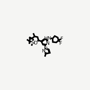 C=CC(C)CC(O[Si](C)(C)C(C)(C)C)c1cc(NC2CCC(F)(F)CC2)nc(-n2ccc(C)n2)c1